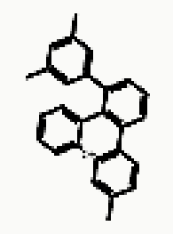 Cc1ccc(-c2cccc(-c3cc(C)cc(C)c3)c2-c2ccccc2O)cc1